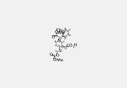 COC(=O)OCS[C@H]1CCN([C@H](C(=O)OC)c2ccccc2Cl)C/C1=C\C(=O)O